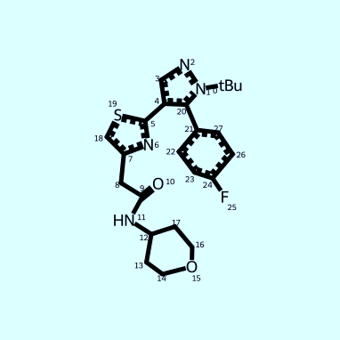 CC(C)(C)n1ncc(-c2nc(CC(=O)NC3CCOCC3)cs2)c1-c1ccc(F)cc1